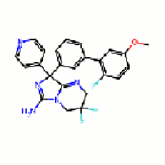 COc1ccc(F)c(-c2cccc(C3(c4ccncc4)N=C(N)N4CC(F)(F)CN=C43)c2)c1